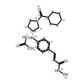 CC(=O)O.O=C(C=Cc1ccc(N[C@@H]2CCN(C(=O)C3CCCCC3)C2)cc1)NO